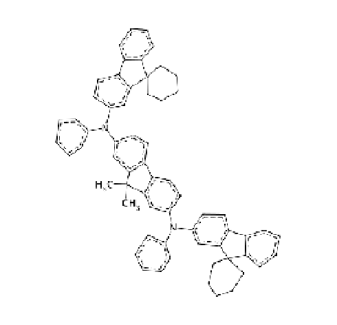 CC1(C)c2cc(N(c3ccccc3)c3ccc4c(c3)C3(CCCCC3)c3ccccc3-4)ccc2-c2ccc(N(c3ccccc3)c3ccc4c(c3)C3(CCCCC3)c3ccccc3-4)cc21